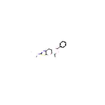 CC(O)[C@H]1O[C@@H]2SC(N(C)C(=O)O)=N[C@@H]2[C@H](F)[C@@H]1OCc1ccccc1